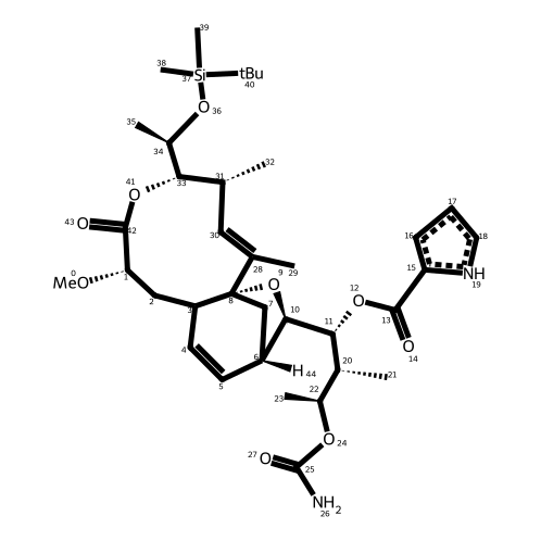 CO[C@H]1CC2C=C[C@@H]3C[C@]2(O[C@H]3[C@H](OC(=O)c2ccc[nH]2)[C@H](C)[C@H](C)OC(N)=O)/C(C)=C/[C@@H](C)[C@@H]([C@@H](C)O[Si](C)(C)C(C)(C)C)OC1=O